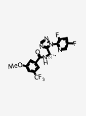 COc1cc(C(=O)N[C@@H](C)c2ncnn2-c2ncc(F)cc2F)cc(C(F)(F)F)c1